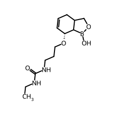 CCNC(=O)NCCCO[C@@H]1C=CCC2COB(O)C21